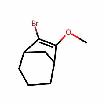 COC1=C(Br)C2CCCC1C2